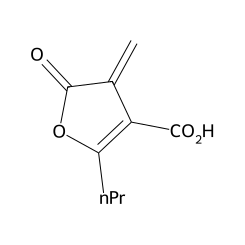 C=C1C(=O)OC(CCC)=C1C(=O)O